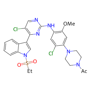 CCS(=O)(=O)n1cc(-c2nc(Nc3cc(Cl)c(N4CCN(C(C)=O)CC4)cc3OC)ncc2Cl)c2ccccc21